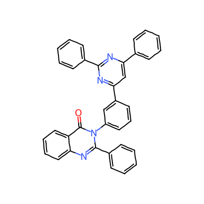 O=c1c2ccccc2nc(-c2ccccc2)n1-c1cccc(-c2cc(-c3ccccc3)nc(-c3ccccc3)n2)c1